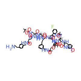 COc1ccc(C[C@H](NC(=O)[C@@H](NC(=O)C2[C@@H]3CCN2C(=O)[C@H](Cc2c[nH]c4ccc(F)cc24)NC(=O)C(NC(=O)[C@@H](C)NC(=O)[C@H](CNC(=O)OC(C)(C)C)NC(=O)CCC(=O)NCc2ccc(CCN)cc2)Cc2cccc(c2)CNC(=O)CO3)[C@@H](C)OC(C)(C)C)C(N)=O)cc1